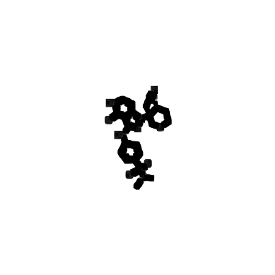 CN(C)S(=O)(=O)c1ccc(Nc2nn([C@@]3(CC#N)COCC[C@H]3F)c3cc[nH]c(=O)c23)cc1